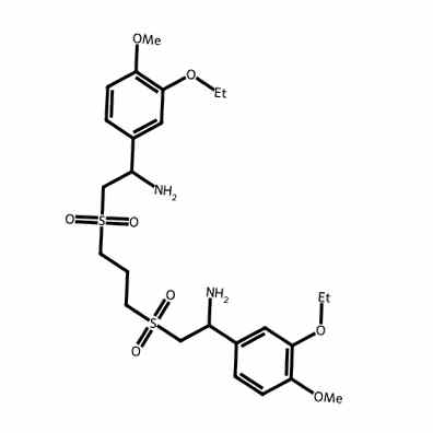 CCOc1cc(C(N)CS(=O)(=O)CCCS(=O)(=O)CC(N)c2ccc(OC)c(OCC)c2)ccc1OC